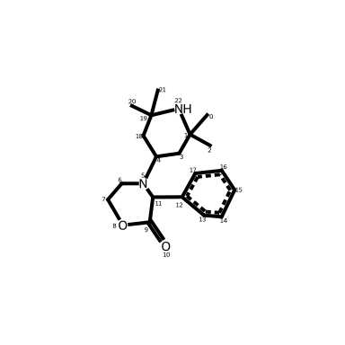 CC1(C)CC(N2CCOC(=O)C2c2ccccc2)CC(C)(C)N1